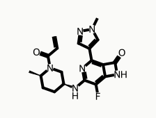 C=CC(=O)N1C[C@@H](Nc2nc(-c3cnn(C)c3)c3c(c2F)NC3=O)CC[C@H]1C